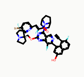 C#Cc1c(F)ccc2cc(O)cc(-c3ncc4c(N5CC6CCC(C5)N6C(=O)/C(F)=C/c5ccc(Br)cn5)nc(OC[C@@]56CCCN5C[C@H](F)C6)nc4c3F)c12